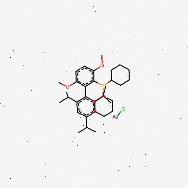 COc1ccc(OC)c(P(C2CCCCC2)C2CCCCC2)c1-c1c(C(C)C)cc(C(C)C)cc1C(C)C.[Cl][Au]